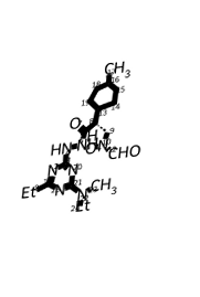 CCc1nc(NNC(=O)[C@@H](CN(O)C=O)C2CCC(C)CC2)nc(N(C)CC)n1